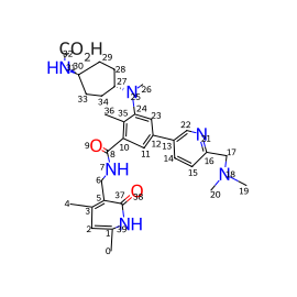 Cc1cc(C)c(CNC(=O)c2cc(-c3ccc(CN(C)C)nc3)cc(N(C)[C@H]3CC[C@H](NC(=O)O)CC3)c2C)c(=O)[nH]1